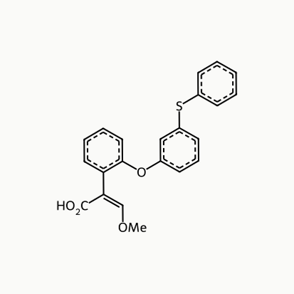 COC=C(C(=O)O)c1ccccc1Oc1cccc(Sc2ccccc2)c1